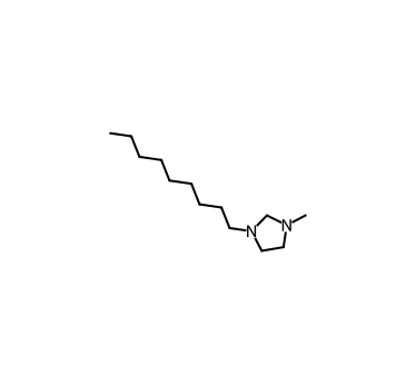 CCCCCCCCCN1CCN(C)C1